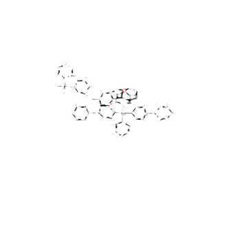 CC1(C)c2ccccc2-c2ccc(N(c3ccc4c(c3)sc3ccccc34)c3ccccc3-c3ccc4c(c3)-c3ccccc3C4(c3ccccc3)c3ccc(-c4ccccc4)cc3)cc21